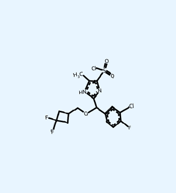 Cc1[nH]c(C(OCC2CC(F)(F)C2)c2ccc(F)c(Cl)c2)nc1S(=O)(=O)Cl